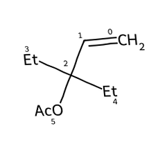 C=CC(CC)(CC)OC(C)=O